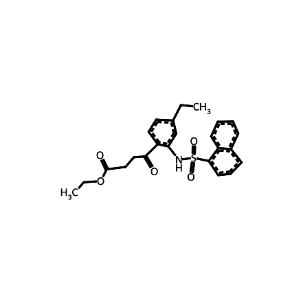 CCOC(=O)CCC(=O)c1ccc(CC)cc1NS(=O)(=O)c1cccc2ccccc12